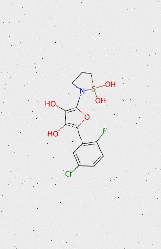 Oc1c(-c2cc(Cl)ccc2F)oc(N2CCCS2(O)O)c1O